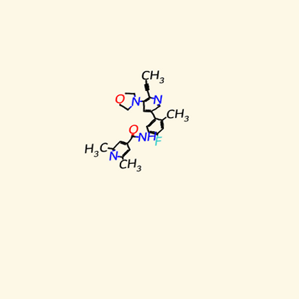 CC#Cc1ncc(-c2cc(NC(=O)c3cc(C)nc(C)c3)c(F)cc2C)cc1N1CCOCC1